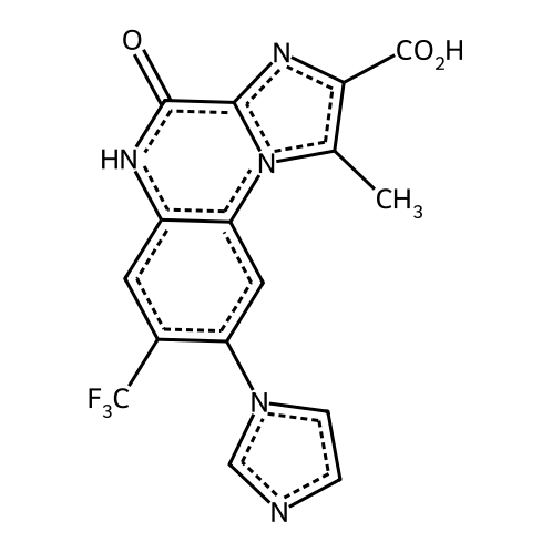 Cc1c(C(=O)O)nc2c(=O)[nH]c3cc(C(F)(F)F)c(-n4ccnc4)cc3n12